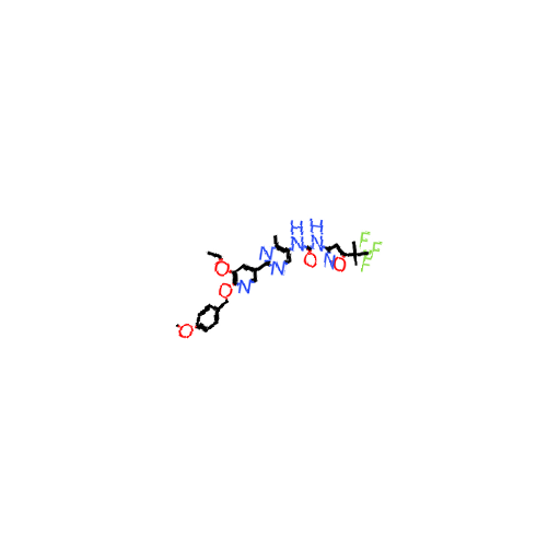 CCOc1cc(-c2ncc(NC(=O)Nc3cc(C(C)(C)C(F)(F)F)on3)c(C)n2)cnc1OCc1ccc(OC)cc1